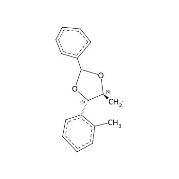 [CH2][C@@H]1OC(c2ccccc2)O[C@H]1c1ccccc1C